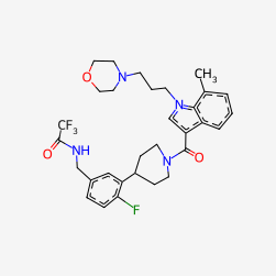 Cc1cccc2c(C(=O)N3CCC(c4cc(CNC(=O)C(F)(F)F)ccc4F)CC3)cn(CCCN3CCOCC3)c12